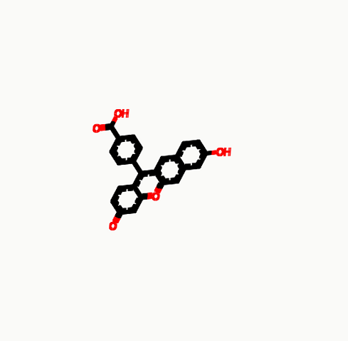 O=C(O)c1ccc(-c2c3ccc(=O)cc-3oc3cc4cc(O)ccc4cc23)cc1